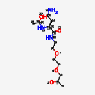 CC(=O)COCCOCCNC(=O)[C@H](CCN)N[C@@H](C)O